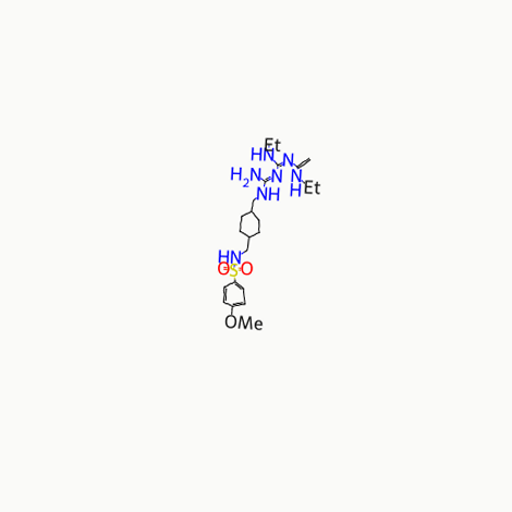 C=C(/N=C(\N=C(/N)NCC1CCC(CNS(=O)(=O)c2ccc(OC)cc2)CC1)NCC)NCC